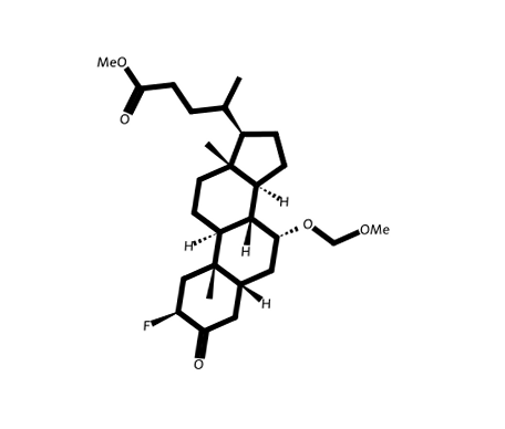 COCO[C@@H]1C[C@@H]2CC(=O)[C@@H](F)C[C@]2(C)[C@H]2CC[C@]3(C)[C@@H](C(C)CCC(=O)OC)CC[C@H]3[C@H]12